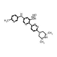 Cc1ccc(Nc2cnc(-c3ccc(N4C[C@@H](C)N[C@@H](C)C4)nn3)c(O)c2)cn1.Cl.Cl